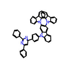 c1ccc(-c2cc(-c3ccc(-n4c5ccccc5c5cc(-n6c7ccccc7c7ccccc76)c(-n6c7ccccc7c7ccccc76)cc54)cc3)nc(-c3ccccc3)n2)cc1